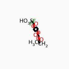 C=C(C)C(=O)OCC(=O)Oc1ccc(OC(=O)C(F)(F)S(=O)(=O)O)cc1